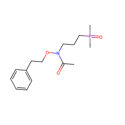 CC(=O)N(CCCP(C)(C)=O)OCCc1ccccc1